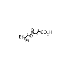 CCC(CC)COC(=O)C=CC(=O)O